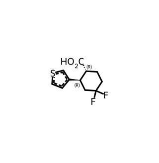 O=C(O)[C@@H]1CCC(F)(F)C[C@H]1c1ccsc1